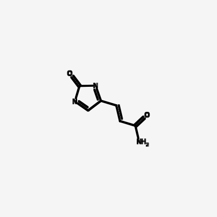 NC(=O)C=CC1=NC(=O)N=C1